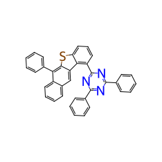 c1ccc(-c2nc(-c3ccccc3)nc(-c3cccc4sc5c(-c6ccccc6)c6ccccc6cc5c34)n2)cc1